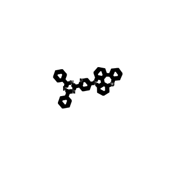 c1ccc(-c2nc(-c3ccccc3)nc(-c3ccc(-n4c5cccc6oc7ccccc7c7cccc4c7c65)cn3)n2)cc1